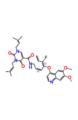 C=C/C(F)=C(\C=C/CNC(=O)c1cn(CC=C(C)C)c(=O)n(CC=C(C)C)c1=O)Oc1ccnc2cc(OC)c(OC)cc12